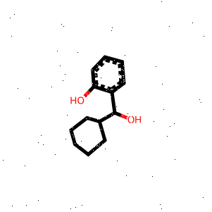 Oc1ccccc1C(O)C1CCCCC1